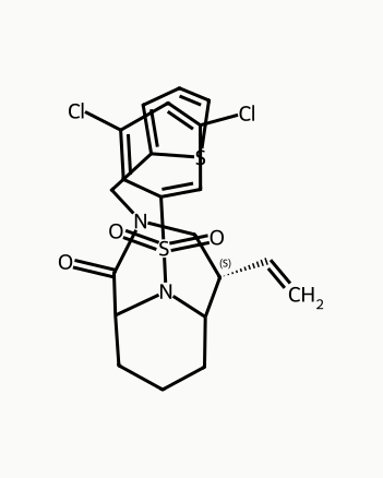 C=C[C@H]1CN(Cc2cccs2)C(=O)C2CCCC1N2S(=O)(=O)c1cc(Cl)cc(Cl)c1